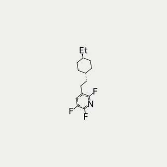 CC[C@H]1CC[C@H](CCc2cc(F)c(F)nc2F)CC1